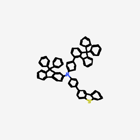 c1ccc(C2(c3ccccc3)c3ccccc3-c3ccc(N(c4ccc(-c5ccc6sc7ccccc7c6c5)cc4)c4ccc(-c5cccc6c5-c5ccccc5C6(c5ccccc5)c5ccccc5)cc4)cc32)cc1